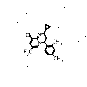 Cc1ccc(C2CC(C3CC3)N=C3C(Cl)=CC(C(F)(F)F)=CN32)c(C)c1